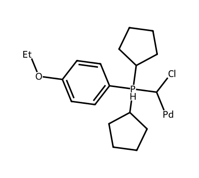 CCOc1ccc([PH]([CH](Cl)[Pd])(C2CCCC2)C2CCCC2)cc1